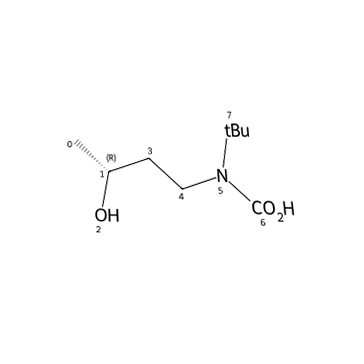 C[C@@H](O)CCN(C(=O)O)C(C)(C)C